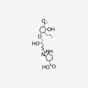 CCCc1c(OCC(O)CSc2nc3cc(C(=O)O)ccc3[nH]2)ccc(C(C)=O)c1O